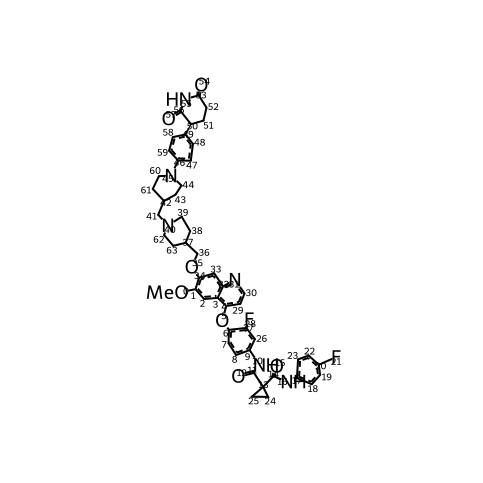 COc1cc2c(Oc3ccc(NC(=O)C4(C(=O)Nc5ccc(F)cc5)CC4)cc3F)ccnc2cc1OCC1CCN(CC2CCN(c3ccc([C@@H]4CCC(=O)NC4=O)cc3)CC2)CC1